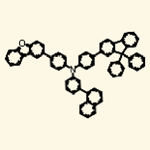 c1ccc(C2(c3ccccc3)c3ccccc3-c3ccc(-c4ccc(N(c5ccc(-c6ccc7oc8ccccc8c7c6)cc5)c5cccc(-c6cccc7ccccc67)c5)cc4)cc32)cc1